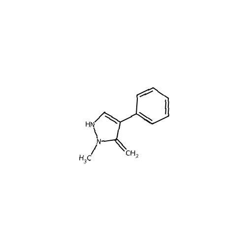 C=C1C(c2ccccc2)=CNN1C